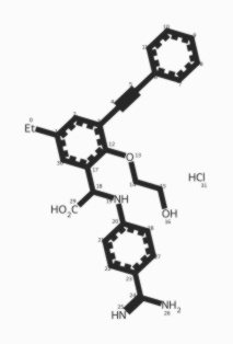 CCc1cc(C#Cc2ccccc2)c(OCCO)c(C(Nc2ccc(C(=N)N)cc2)C(=O)O)c1.Cl